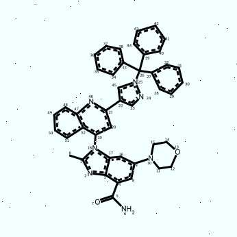 Cc1nc2c(C(N)=O)cc(N3CCOCC3)cc2n1-c1cc(-c2cnn(C(c3ccccc3)(c3ccccc3)c3ccccc3)c2)nc2ccccc12